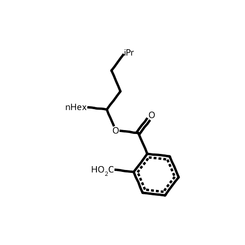 CCCCCCC(CCC(C)C)OC(=O)c1ccccc1C(=O)O